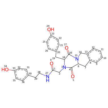 O=C(CN1C(=O)C2Cc3ccccc3CN2C(=O)C1Cc1ccc(O)cc1)NCCc1ccc(O)cc1